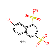 O=S(=O)(O)c1cc(S(=O)(=O)O)c2cc(O)ccc2c1.[NaH]